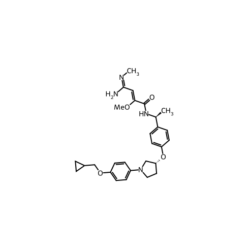 C/N=C(N)\C=C(/OC)C(=O)N[C@@H](C)c1ccc(O[C@@H]2CCN(c3ccc(OCC4CC4)cc3)C2)cc1